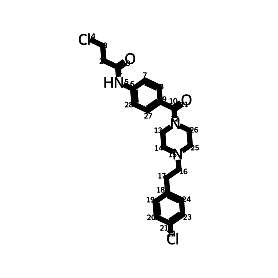 O=C(CCCl)Nc1ccc(C(=O)N2CCN(CCc3ccc(Cl)cc3)CC2)cc1